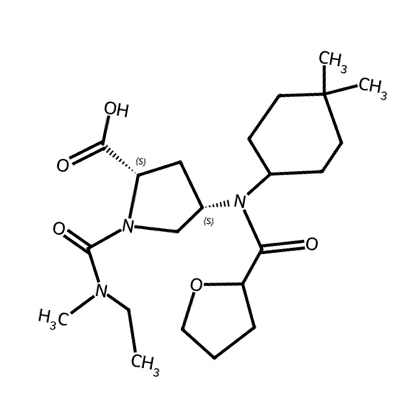 CCN(C)C(=O)N1C[C@@H](N(C(=O)C2CCCO2)C2CCC(C)(C)CC2)C[C@H]1C(=O)O